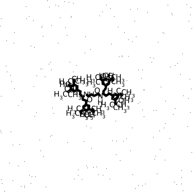 CC(C)(C)c1cc(CCC(CCc2cc(C(C)(C)C)c(O)c(C(C)(C)C)c2)NC(=O)CCC(=O)NC(CCc2cc(C(C)(C)C)c(O)c(C(C)(C)C)c2)CCc2cc(C(C)(C)C)c(O)c(C(C)(C)C)c2)cc(C(C)(C)C)c1O